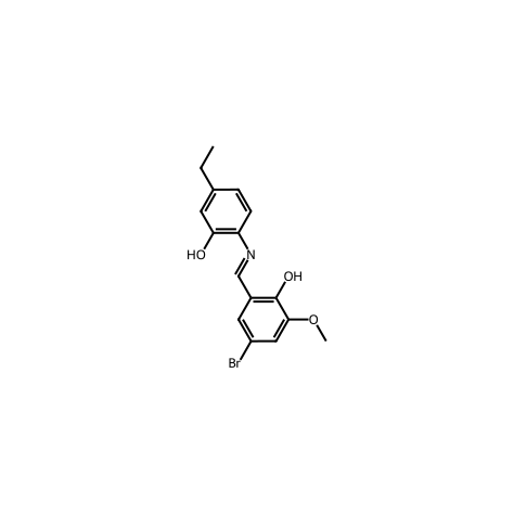 CCc1ccc(/N=C/c2cc(Br)cc(OC)c2O)c(O)c1